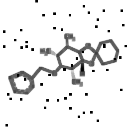 CC1C2OC3(CCCCC3)O[C@@H]2[C@H](C)C(OCc2ccccc2)[C@@H]1C